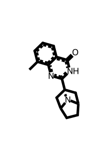 Cc1cccc2c(=O)[nH]c(C3CC4CCC(C3)N4C)nc12